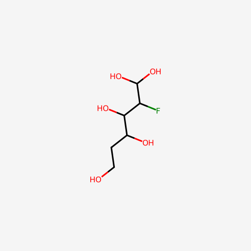 OCCC(O)C(O)C(F)C(O)O